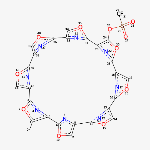 Cc1oc2nc1-c1nc(co1)-c1nc(co1)-c1nc(co1)-c1nc(c(OS(=O)(=O)C(F)(F)F)o1)-c1nc(co1)-c1nc(co1)-c1nc-2co1